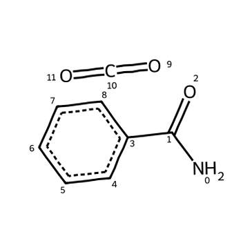 NC(=O)c1ccccc1.O=C=O